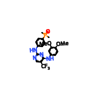 COc1ccc(Nc2nc(Nc3ccc(P(C)(C)=O)cc3)ncc2C(F)(F)F)cc1OC